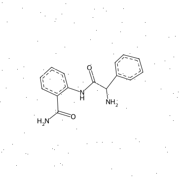 NC(=O)c1ccccc1NC(=O)C(N)c1ccccc1